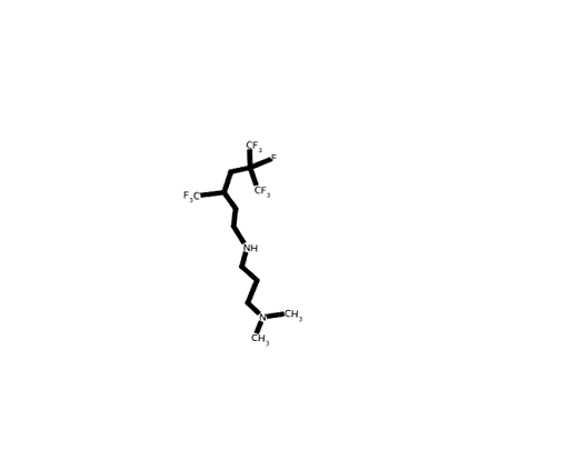 CN(C)CCCNCCC(CC(F)(C(F)(F)F)C(F)(F)F)C(F)(F)F